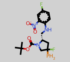 CC(C)(C)OC(=O)N1CC(F)(P)C[C@H]1CNc1ccc(F)cc1[N+](=O)[O-]